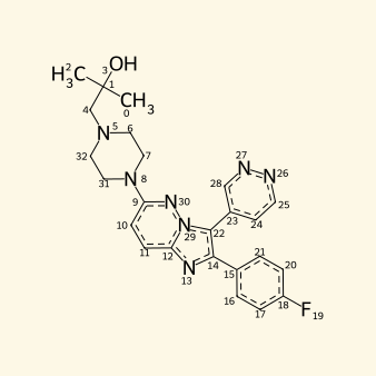 CC(C)(O)CN1CCN(c2ccc3nc(-c4ccc(F)cc4)c(-c4ccnnc4)n3n2)CC1